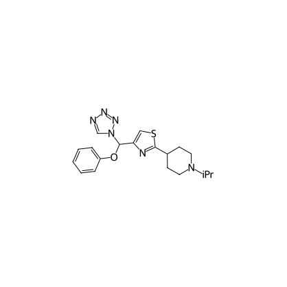 CC(C)N1CCC(c2nc(C(Oc3ccccc3)n3cnnn3)cs2)CC1